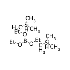 CCOB(OCC)OCC.C[SiH](C)C.C[SiH](C)C